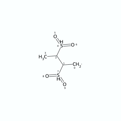 [CH2]C(C(C)[SH](=O)=O)[SH](=O)=O